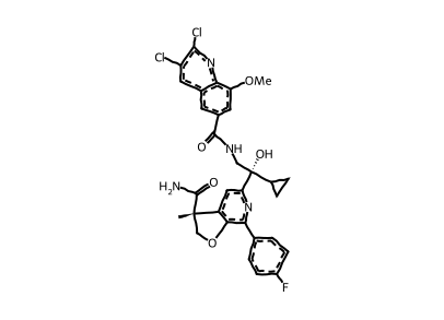 COc1cc(C(=O)NC[C@](O)(c2cc3c(c(-c4ccc(F)cc4)n2)OC[C@]3(C)C(N)=O)C2CC2)cc2cc(Cl)c(Cl)nc12